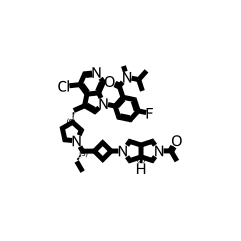 CC[C@@H](C1CC(N2CC3CN(C(C)=O)C[C@@H]3C2)C1)N1CC[C@H](Cc2cn(-c3ccc(F)cc3C(=O)N(C)C(C)C)c3cncc(Cl)c23)C1